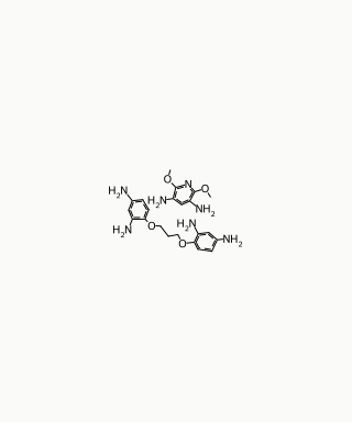 COc1nc(OC)c(N)cc1N.Nc1ccc(OCCCOc2ccc(N)cc2N)c(N)c1